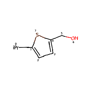 CC(C)c1ccc(CO)s1